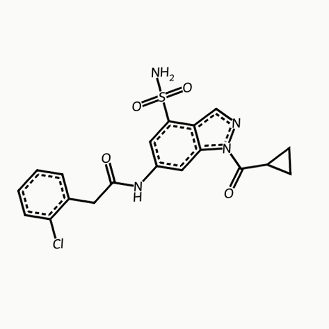 NS(=O)(=O)c1cc(NC(=O)Cc2ccccc2Cl)cc2c1cnn2C(=O)C1CC1